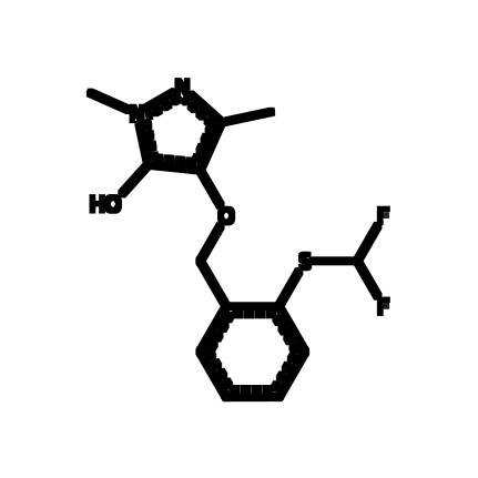 Cc1nn(C)c(O)c1OCc1ccccc1SC(F)F